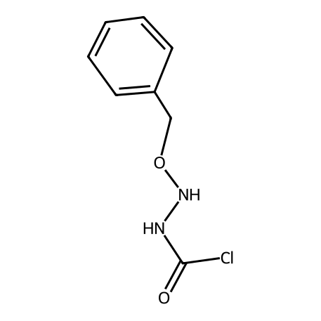 O=C(Cl)NNOCc1ccccc1